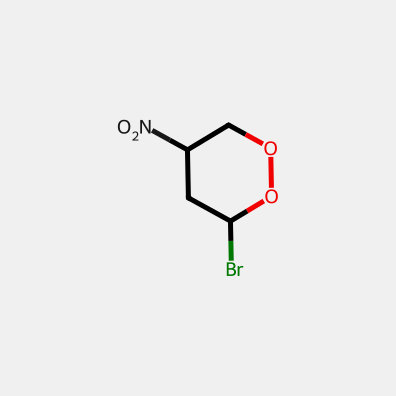 O=[N+]([O-])C1COOC(Br)C1